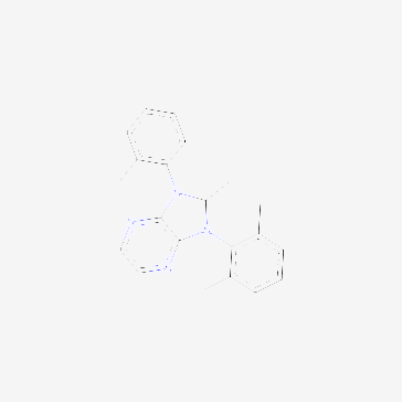 Cc1ccccc1N1c2nccnc2N(c2c(C)cccc2C)C1C